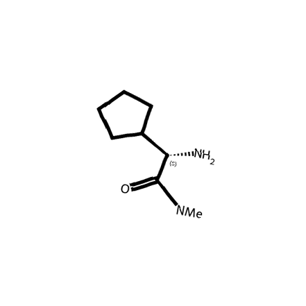 CNC(=O)[C@@H](N)C1CCCC1